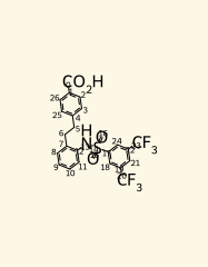 O=C(O)c1ccc(CCc2ccccc2NS(=O)(=O)c2cc(C(F)(F)F)cc(C(F)(F)F)c2)cc1